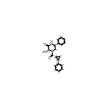 CC(C)[C@H]1C(=O)N[C@@H](c2ccccc2)CN1C(=O)[C@@H]1C[C@H]1c1ccccc1